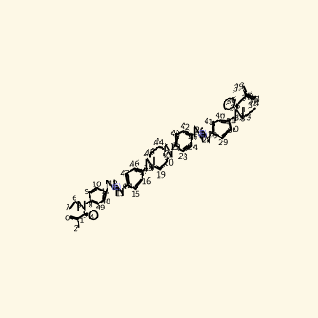 C=C(C)C(=O)N(CC)c1ccc(/N=N/c2ccc(N3CCN(c4ccc(/N=N/c5ccc(N(CC)C(=O)C(=C)C)cc5)cc4)CC3)cc2)cc1